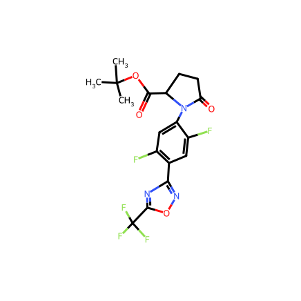 CC(C)(C)OC(=O)C1CCC(=O)N1c1cc(F)c(-c2noc(C(F)(F)F)n2)cc1F